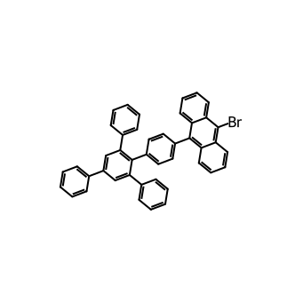 Brc1c2ccccc2c(-c2ccc(-c3c(-c4ccccc4)cc(-c4ccccc4)cc3-c3ccccc3)cc2)c2ccccc12